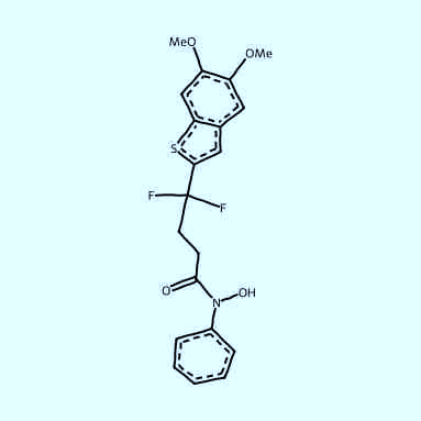 COc1cc2cc(C(F)(F)CCC(=O)N(O)c3ccccc3)sc2cc1OC